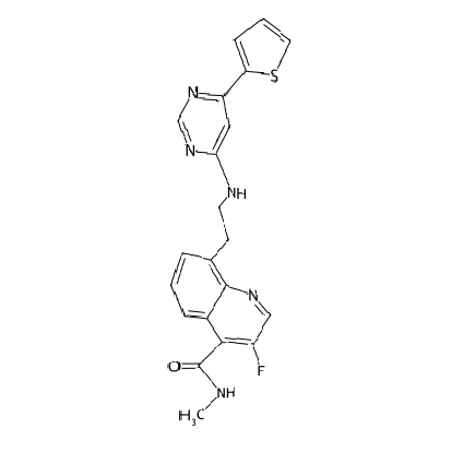 CNC(=O)c1c(F)cnc2c(CCNc3cc(-c4cccs4)ncn3)cccc12